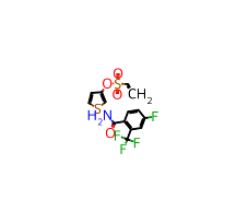 C=CS(=O)(=O)Oc1ccsc1.NC(=O)c1ccc(F)cc1C(F)(F)F